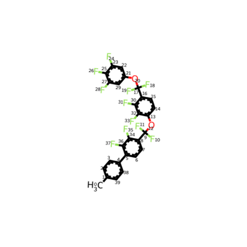 Cc1ccc(-c2ccc(C(F)(F)Oc3ccc(C(F)(F)Oc4cc(F)c(F)c(F)c4)c(F)c3F)c(F)c2F)cc1